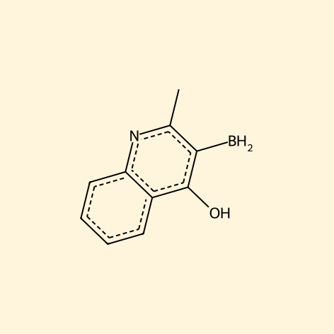 Bc1c(C)nc2ccccc2c1O